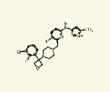 Cc1cc(Nc2ccc(F)c(CC3CCN(C4(c5cccc(Cl)c5F)COC4)CC3)n2)n[nH]1